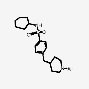 CC(=O)N1CCC(Cc2ccc(S(=O)(=O)NC3CCCCC3)cc2)CC1